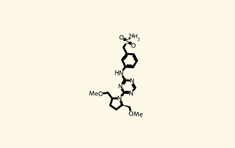 COCC1CC[C@H](COC)N1c1ncnc(Nc2cccc(CS(N)(=O)=O)c2)n1